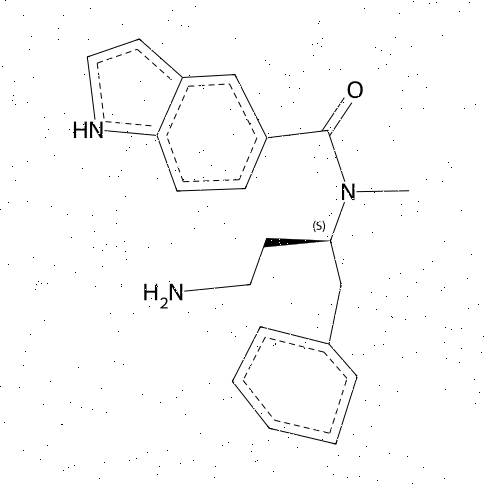 CN(C(=O)c1ccc2[nH]ccc2c1)[C@H](CCN)Cc1ccccc1